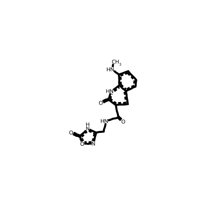 CNc1cccc2cc(C(=O)NCc3noc(=O)[nH]3)c(=O)[nH]c12